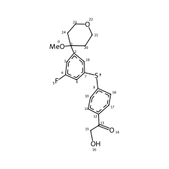 COC1(c2cc(F)cc(Sc3ccc(C(=O)CO)cc3)c2)CCOCC1